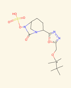 CC(C)(C)[Si](C)(C)OCc1nnc(C2CCC3CN2C(=O)N3OS(=O)(=O)O)o1